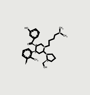 Cc1c(F)cccc1[C@@H]1[CH]C(N2CCC[C@H]2CO)N(CCCCN(C)C)C[C@@H]1C(=O)c1cccc(O)c1